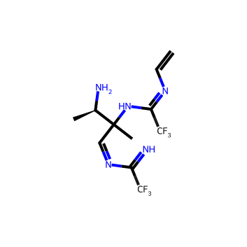 C=C/N=C(\NC(C)(/C=N\C(=N)C(F)(F)F)[C@@H](C)N)C(F)(F)F